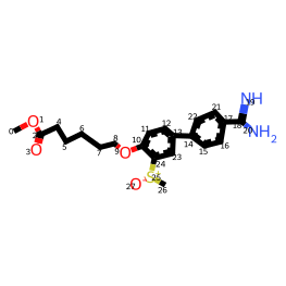 COC(=O)CCCCCOc1ccc(-c2ccc(C(=N)N)cc2)cc1[S+](C)[O-]